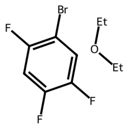 CCOCC.Fc1cc(F)c(Br)cc1F